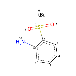 CC(C)(C)S(=O)(=O)c1ccccc1N